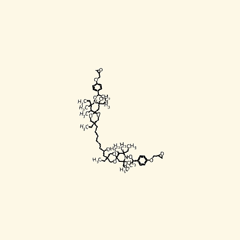 CCC1(CCCCCCC(O)CC2(CC)COC3(CC(C)(CC)N(OC(C)c4ccc(OCC5CO5)cc4)C(C)(CC)C3C)OC2)COC2(CC(C)(CC)N(OC(C)c3ccc(OCC4CO4)cc3)C(C)(CC)C2C)OC1